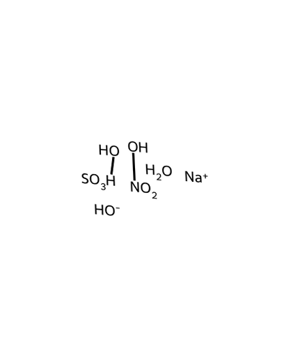 O.O=S(=O)(O)O.O=[N+]([O-])O.[Na+].[OH-]